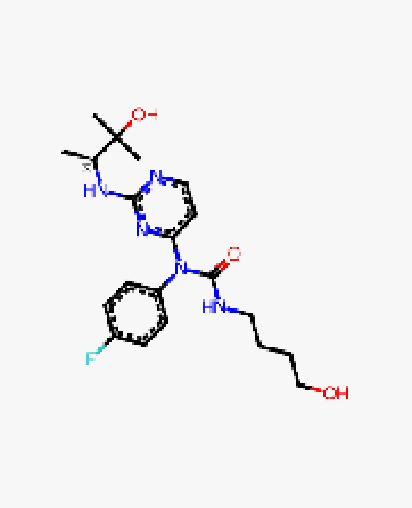 C[C@H](Nc1nccc(N(C(=O)NCCCCO)c2ccc(F)cc2)n1)C(C)(C)O